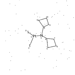 [I][Pt]([I])[N](C1CCC1)C1CCC1